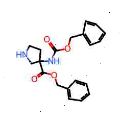 O=C(NC1(C(=O)OCc2ccccc2)CCNC1)OCc1ccccc1